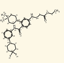 CCOC(=O)CSNc1ccc(C(=O)Nc2cccc(N3CCC(F)(F)CC3)c2)c(N2CCS(C)(C)CC2)c1